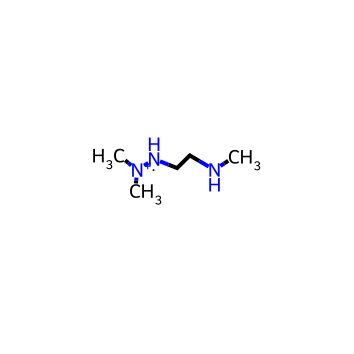 CNCCN[N+](C)C